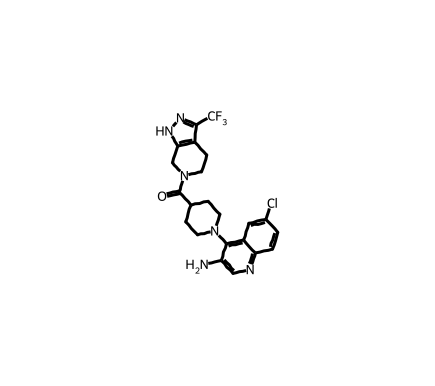 Nc1cnc2ccc(Cl)cc2c1N1CCC(C(=O)N2CCc3c(C(F)(F)F)n[nH]c3C2)CC1